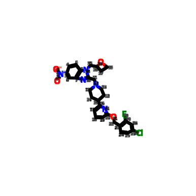 O=[N+]([O-])c1ccc2c(c1)nc(CN1CCC(c3cccc(OCc4ccc(Cl)cc4F)n3)CC1)n2CC1CCO1